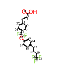 O=C(O)C=Cc1ccc(C(F)(F)Oc2ccc(CCCC(F)(F)F)cc2)cc1